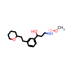 COBNCCC(O)c1cccc(CCC2CCCCO2)c1